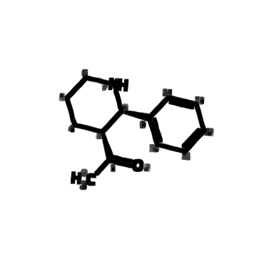 CC(=O)[C@H]1CCCN[C@H]1c1ccccc1